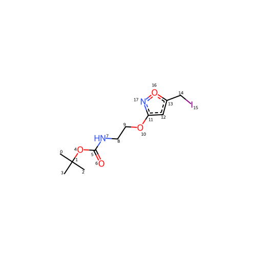 CC(C)(C)OC(=O)NCCOc1cc(CI)on1